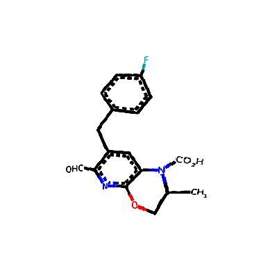 CC1COc2nc(C=O)c(Cc3ccc(F)cc3)cc2N1C(=O)O